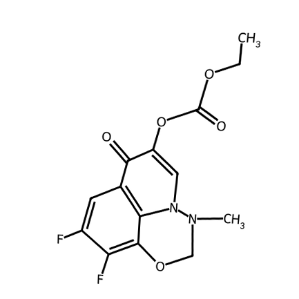 CCOC(=O)Oc1cn2c3c(c(F)c(F)cc3c1=O)OCN2C